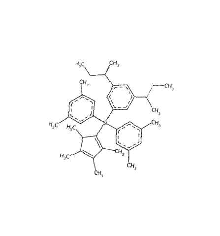 CCC(C)c1cc(C(C)CC)cc([Si](C2=C(C)C(C)=C(C)C2C)(c2cc(C)cc(C)c2)c2cc(C)cc(C)c2)c1